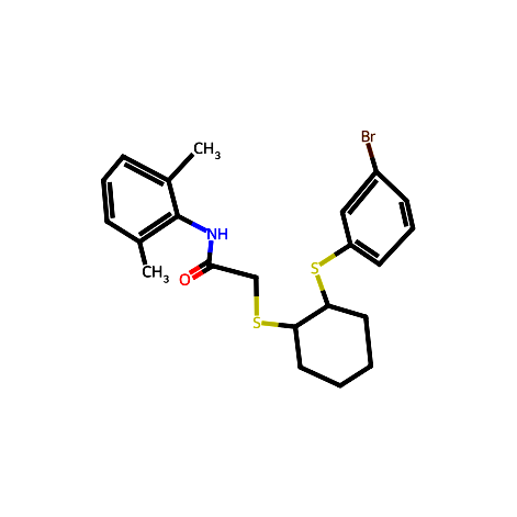 Cc1cccc(C)c1NC(=O)CSC1CCCCC1Sc1cccc(Br)c1